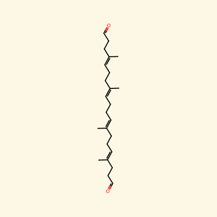 C/C(=C\CC/C(C)=C/CC/C=C(\C)CC/C=C(\C)CCC=O)CCC=O